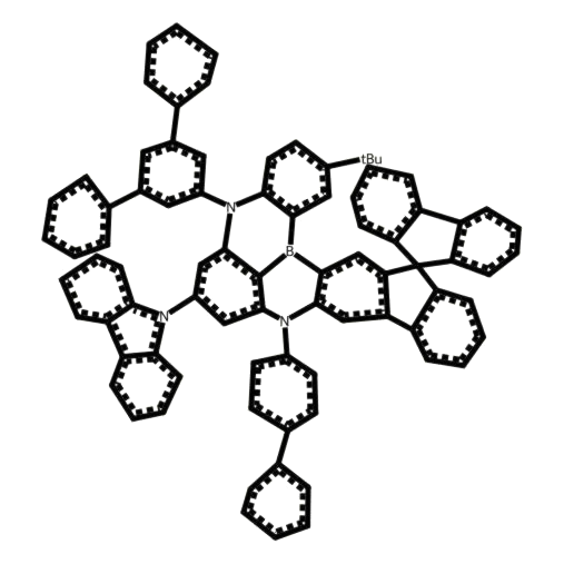 CC(C)(C)c1ccc2c(c1)B1c3cc4c(cc3N(c3ccc(-c5ccccc5)cc3)c3cc(-n5c6ccccc6c6ccccc65)cc(c31)N2c1cc(-c2ccccc2)cc(-c2ccccc2)c1)-c1ccccc1C41c2ccccc2-c2ccccc21